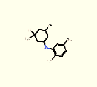 Cc1ccc([N+](=O)[O-])c(NC2CC(C)CC(C)(C)C2)c1